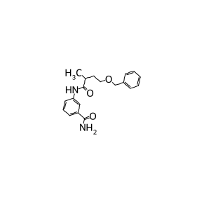 CC(CCOCc1ccccc1)C(=O)Nc1cccc(C(N)=O)c1